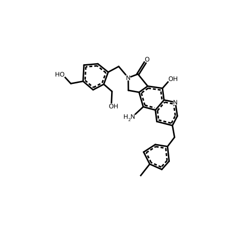 Cc1ccc(Cc2cnc3c(O)c4c(c(N)c3c2)CN(Cc2ccc(CO)cc2CO)C4=O)cc1